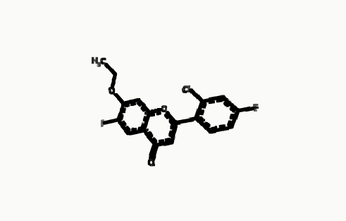 CCOc1cc2oc(-c3ccc(F)cc3Cl)cc(=O)c2cc1I